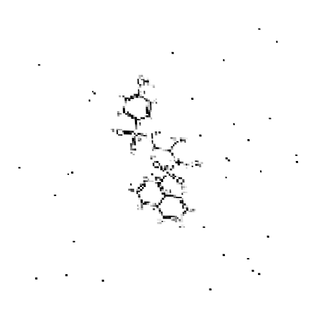 CCCN(C(COS(=O)(=O)c1ccc(C)cc1)C(C)C)S(=O)(=O)c1cccc2cnccc12